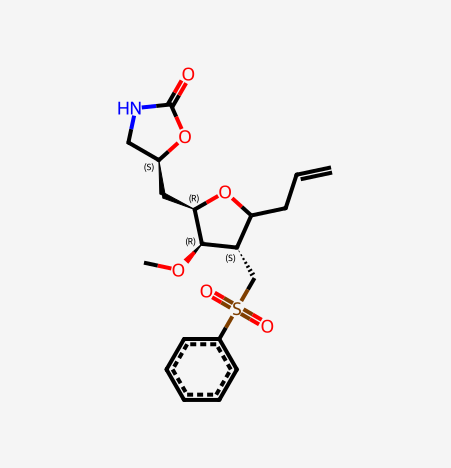 C=CCC1O[C@H](C[C@H]2CNC(=O)O2)[C@H](OC)[C@H]1CS(=O)(=O)c1ccccc1